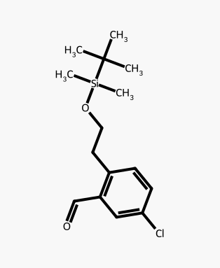 CC(C)(C)[Si](C)(C)OCCc1ccc(Cl)cc1C=O